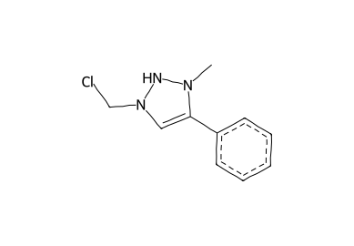 CN1NN(CCl)C=C1c1ccccc1